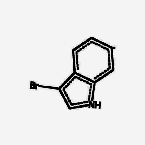 Brc1c[nH]c2c[c]ccc12